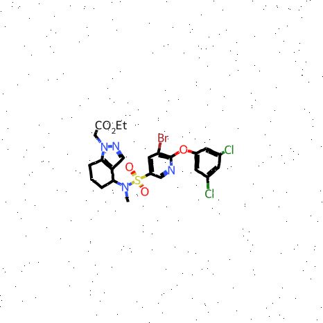 CCOC(=O)Cn1ncc2c1CCCC2N(C)S(=O)(=O)c1cnc(Oc2cc(Cl)cc(Cl)c2)c(Br)c1